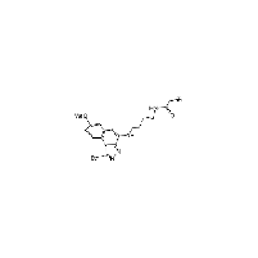 CCc1nnc2c(NCCCCNC(=O)CC(C)C)nc3cc(OC)ccc3n12